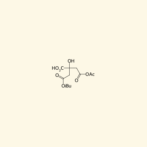 CC(=O)OC(=O)CC(O)(CC(=O)OCC(C)C)C(=O)O